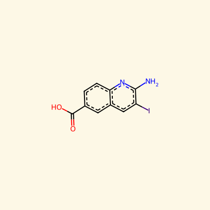 Nc1nc2ccc(C(=O)O)cc2cc1I